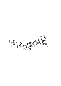 C[C@H](CC(=O)N1CCC(O)(Cn2cnc3cc(NC(=O)CCN(C)C)ccc3c2=O)CC1)c1ccccc1